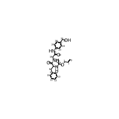 C=CCOC(=O)NC(Cc1ccccc1)C(=O)NCC(=O)Nc1ccc(CO)cc1